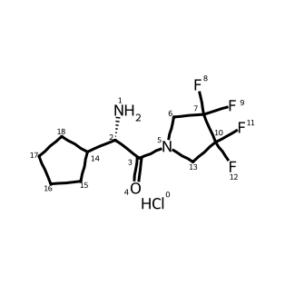 Cl.N[C@H](C(=O)N1CC(F)(F)C(F)(F)C1)C1CCCC1